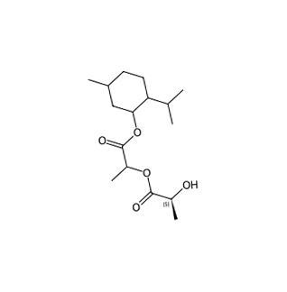 CC1CCC(C(C)C)C(OC(=O)C(C)OC(=O)[C@H](C)O)C1